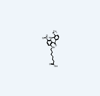 COc1cccc2c(=O)c3c(NCCCCCCC(=O)O)ccc([N+](=O)[O-])c3[nH]c12